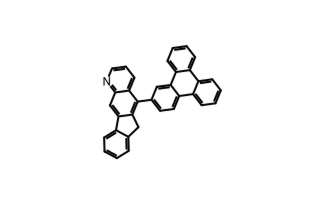 c1ccc2c(c1)Cc1c-2cc2ncccc2c1-c1ccc2c3ccccc3c3ccccc3c2c1